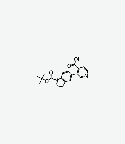 CC(C)(C)OC(=O)N1CCc2cc(-c3cnccc3C(=O)O)ccc21